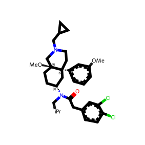 COc1cccc([C@@]23CCN(CC4CC4)C[C@@]2(OC)CC[C@@H](N(CC(C)C)C(=O)Cc2ccc(Cl)c(Cl)c2)C3)c1